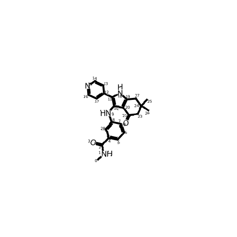 CNC(=O)c1cccc(Nc2c(-c3ccncc3)[nH]c3c2C(=O)CC(C)(C)C3)c1